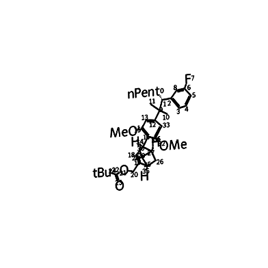 CCCCC[C@H](c1cccc(F)c1)C(C)(C)c1cc(OC)c([C@H]2C=C(COC(=O)C(C)(C)C)[C@H]3C[C@@H]2C3(C)C)c(OC)c1